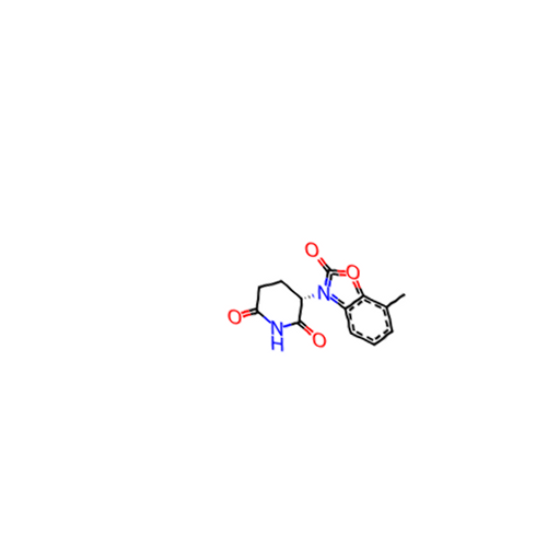 Cc1cccc2c1oc(=O)n2[C@H]1CCC(=O)NC1=O